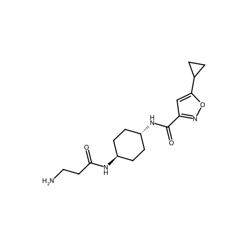 NCCC(=O)N[C@H]1CC[C@H](NC(=O)c2cc(C3CC3)on2)CC1